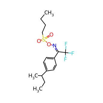 CCCCS(=O)(=O)O/N=C(\c1ccc(C(C)CC)cc1)C(F)(F)F